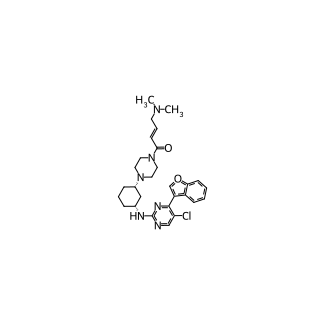 CN(C)C/C=C/C(=O)N1CCN([C@H]2CCC[C@@H](Nc3ncc(Cl)c(-c4coc5ccccc45)n3)C2)CC1